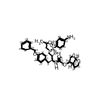 CC(C)CN(C[C@@H](O)[C@H](Cc1ccc(OCc2ccccc2)cc1)NC(=O)OC1CO[C@H]2OCC[C@@H]12)S(=O)(=O)c1ccc(N)cc1